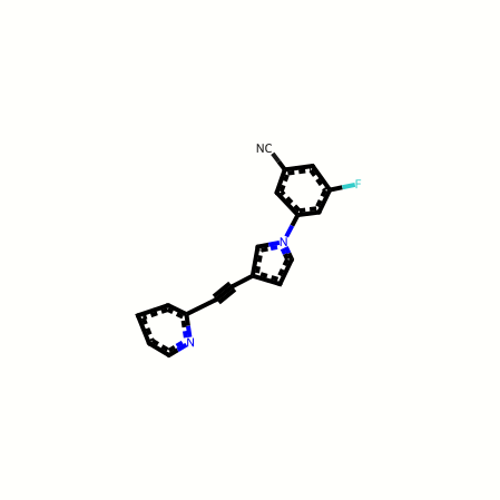 N#Cc1cc(F)cc(-n2ccc(C#Cc3ccccn3)c2)c1